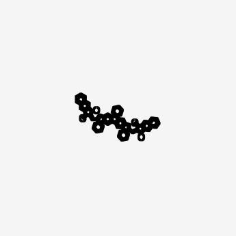 O=C1C(=CC2=Cc3cc4c(cc3C23CCCCC3)-c2cc3c(cc2C42CCCCC2)C=C(C=C2C(=O)c4cc5ccccc5cc4C2=O)C32CCCCC2)C(=O)c2cc3ccccc3cc21